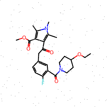 CCOC1CCN(C(=O)c2cc(CC(=O)c3c(C(=O)OC)c(C)n(C)c3C)ccc2F)CC1